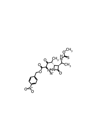 COC(=S)NC(C)[C@H]1C(=O)N[C@@H]1C(C)C(=O)C(=[N+]=[N-])C(=O)OCc1ccc([N+](=O)[O-])cc1